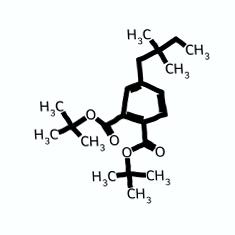 CCC(C)(C)Cc1ccc(C(=O)OC(C)(C)C)c(C(=O)OC(C)(C)C)c1